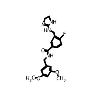 COc1cc(CNC(=O)c2ccc(F)c(CNC3=NCCN3)c2)cc(OC)c1